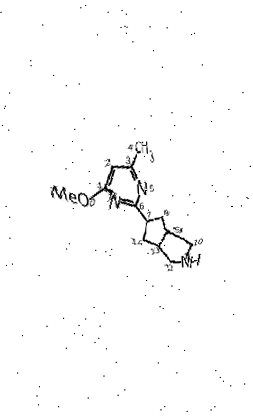 COc1cc(C)nc(C2CC3CNCC3C2)n1